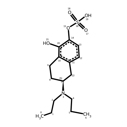 CCCN(CCC)[C@H]1CCc2c(ccc(OS(=O)(=O)O)c2O)C1